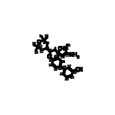 CN1OC2(CC(C3CC(C)(C)OC(C)(C)C3)Oc3ccc(-c4cccc(C#N)c4)cc32)N=C1N